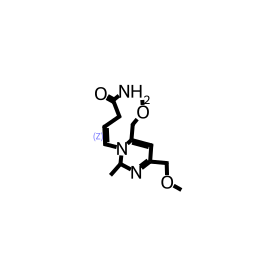 COCC1=CC(COC)=NC(C)N1/C=C\CC(N)=O